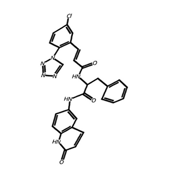 O=C(C=Cc1cc(Cl)ccc1-n1cnnn1)NC(Cc1ccccc1)C(=O)Nc1ccc2[nH]c(=O)ccc2c1